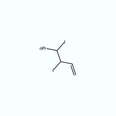 C=CC(I)C(I)CCC